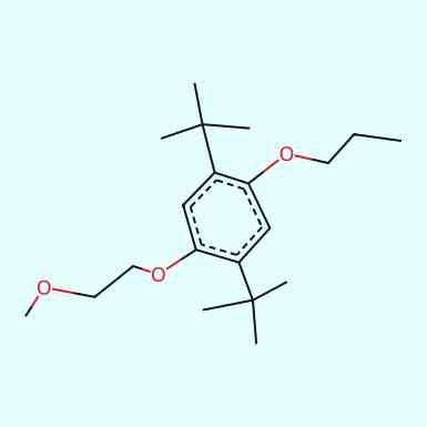 CCCOc1cc(C(C)(C)C)c(OCCOC)cc1C(C)(C)C